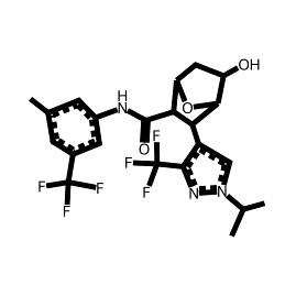 Cc1cc(NC(=O)C2C3CC(O)C(O3)C2c2cn(C(C)C)nc2C(F)(F)F)cc(C(F)(F)F)c1